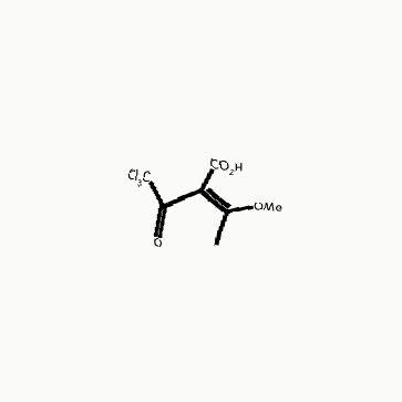 CO/C(C)=C(\C(=O)O)C(=O)C(Cl)(Cl)Cl